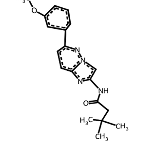 COc1cccc(-c2ccc3nc(NC(=O)CC(C)(C)C)cn3n2)c1